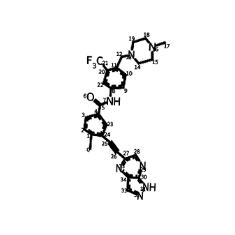 Cc1ccc(C(=O)Nc2ccc(CN3CCN(C)CC3)c(C(F)(F)F)c2)cc1C#Cc1cnc2[nH]ncc2n1